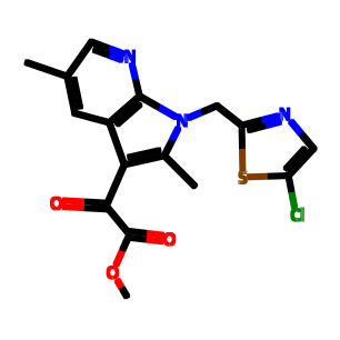 COC(=O)C(=O)c1c(C)n(Cc2ncc(Cl)s2)c2ncc(C)cc12